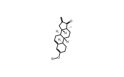 C=C1C[C@H]2[C@@H]3CC=C4C=C(OCC)CC[C@@H]4[C@H]3CC[C@]2(C)C1=O